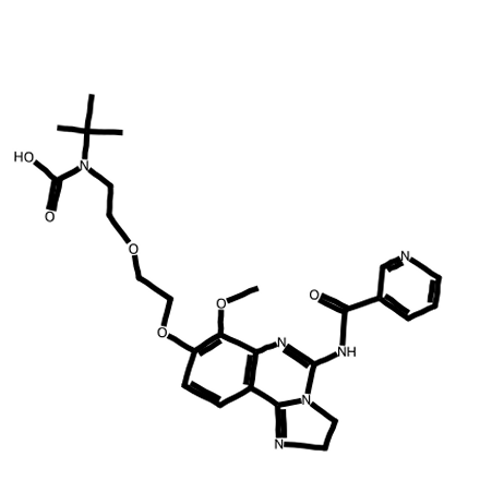 COc1c(OCCOCCN(C(=O)O)C(C)(C)C)ccc2c1N=C(NC(=O)c1cccnc1)N1CCN=C21